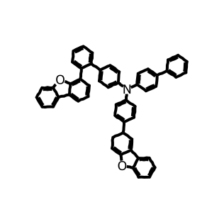 C1=c2oc3ccccc3c2=CC(c2ccc(N(c3ccc(-c4ccccc4)cc3)c3ccc(-c4ccccc4-c4cccc5c4oc4ccccc45)cc3)cc2)C1